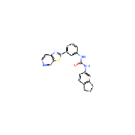 O=C(Nc1cccc(-c2nc3ccncc3s2)c1)Nc1ccc2c(c1)CCC2